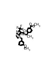 COC(=O)c1ccc(C(C)NC(=O)c2c(C(F)(F)F)nn3c2N(Cc2cccc(OC)c2)CC3)cc1